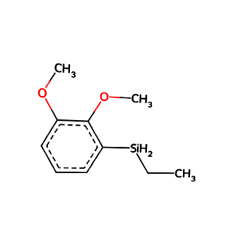 CC[SiH2]c1cccc(OC)c1OC